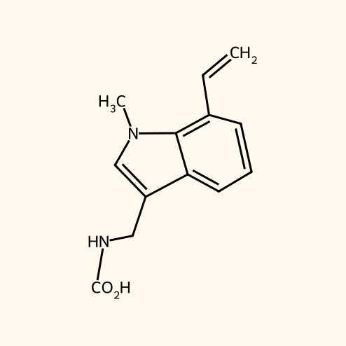 C=Cc1cccc2c(CNC(=O)O)cn(C)c12